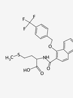 CSCCC(NC(=O)c1ccc2ccccc2c1OCc1ccc(C(F)(F)F)cc1)C(=O)O